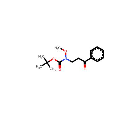 CON(CCC(=O)c1ccccc1)C(=O)OC(C)(C)C